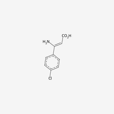 NC(=CC(=O)O)c1ccc(Cl)cc1